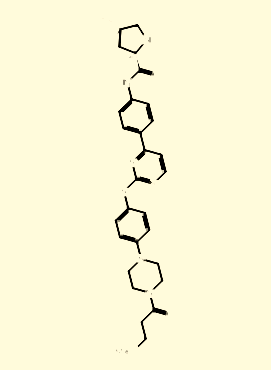 COCCC(=O)N1CCN(c2ccc(Nc3nccc(-c4ccc(NC(=O)[C@H]5C[C@H](O)CN5)cc4)n3)cc2)CC1